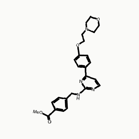 COC(=O)c1ccc(CNc2nccc(-c3ccc(OCCN4CCOCC4)cc3)n2)cc1